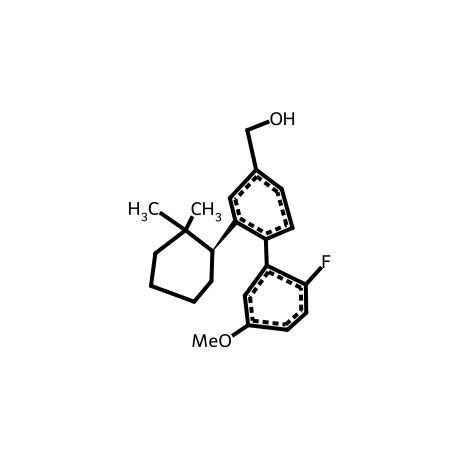 COc1ccc(F)c(-c2ccc(CO)cc2[C@H]2CCCCC2(C)C)c1